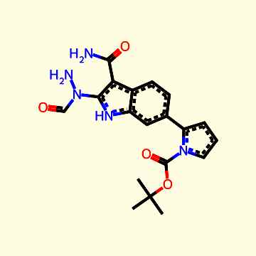 CC(C)(C)OC(=O)n1cccc1-c1ccc2c(C(N)=O)c(N(N)C=O)[nH]c2c1